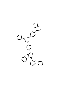 c1ccc(-c2cc(-c3ccc(-c4ccc(-c5cccc6c5sc5ccccc56)c5c4oc4ccccc45)cc3)nc(-c3ccc(-c4ccnc5ccccc45)cc3)n2)cc1